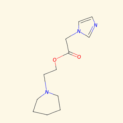 O=C(Cn1ccnc1)OCCN1CCCCC1